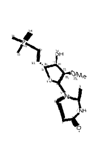 C=C1NC(=O)C=CN1C1O[C@H](CCP(=C)(C)C)[C@@H](O)[C@H]1OC